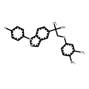 Bc1ccc(OCC(O)(c2ccc3c(cnn3-c3ccc(F)cc3)c2)C(F)(F)F)cc1C